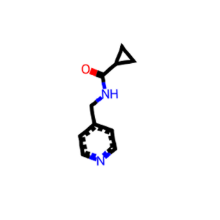 O=C(NCc1ccncc1)C1CC1